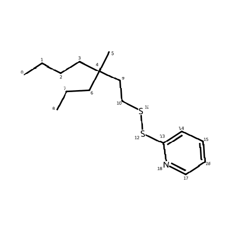 CCCCC(C)(CCC)CCSSc1ccccn1